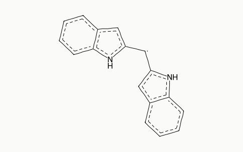 [CH](c1cc2ccccc2[nH]1)c1cc2ccccc2[nH]1